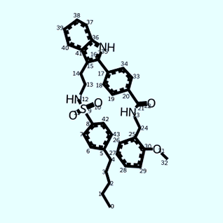 CCCCCc1ccc(S(=O)(=O)NCCc2c(-c3ccc(C(=O)NCc4ccccc4OC)cc3)[nH]c3ccccc23)cc1